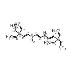 C=C[Si](C=C)(C=C)C=C[SiH2]C=C[SiH2]C=C[Si](C=C)(C=C)C=C